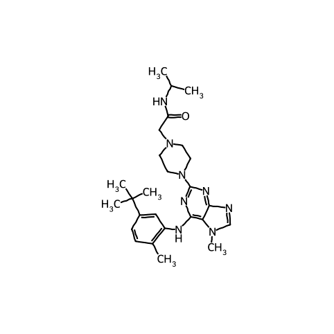 Cc1ccc(C(C)(C)C)cc1Nc1nc(N2CCN(CC(=O)NC(C)C)CC2)nc2ncn(C)c12